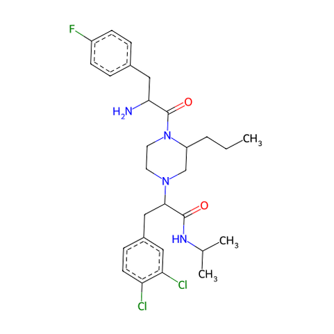 CCCC1CN(C(Cc2ccc(Cl)c(Cl)c2)C(=O)NC(C)C)CCN1C(=O)C(N)Cc1ccc(F)cc1